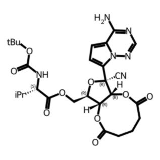 CC(C)[C@H](NC(=O)OC(C)(C)C)C(=O)OC[C@H]1O[C@@](C#N)(c2ccc3c(N)ncnn23)[C@@H]2OC(=O)CCCC(=O)O[C@@H]21